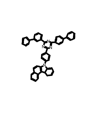 C1=CCC2C(=C1)N(c1ccc(-c3nc(-c4ccc(-c5ccccc5)cc4)nc(-c4cccc(-c5ccccc5)c4)n3)cc1)c1ccc3ccccc3c12